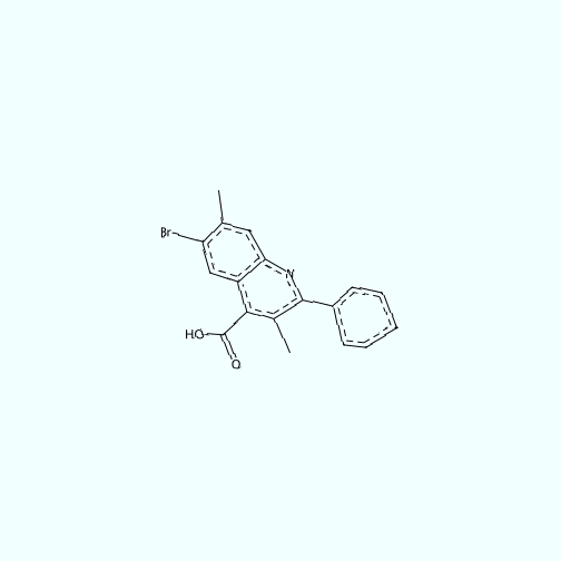 Cc1cc2nc(-c3ccccc3)c(C)c(C(=O)O)c2cc1Br